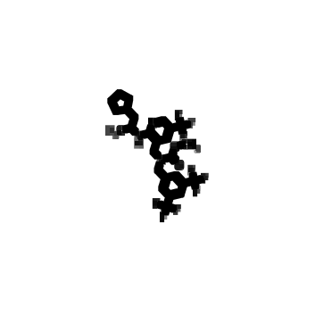 COC(=O)N(Cc1cc(C(F)(F)F)cc(C(F)(F)F)c1)Cc1cc(C(F)(F)F)cnc1NC(C)CC1CCCC1